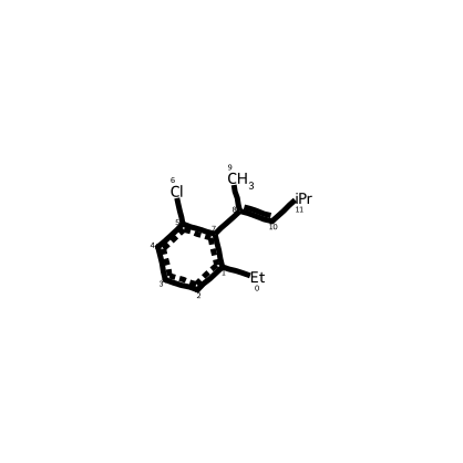 CCc1cccc(Cl)c1/C(C)=C/C(C)C